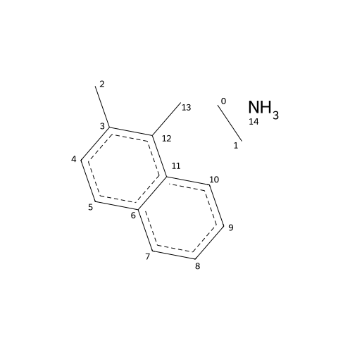 CC.Cc1ccc2ccccc2c1C.N